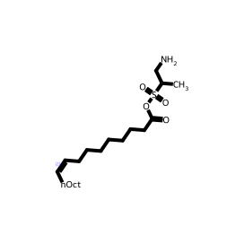 CCCCCCCC/C=C\CCCCCCCC(=O)OS(=O)(=O)C(C)CN